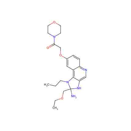 CCCN1c2c(cnc3ccc(OCC(=O)N4CCOCC4)cc23)NC1(N)COCC